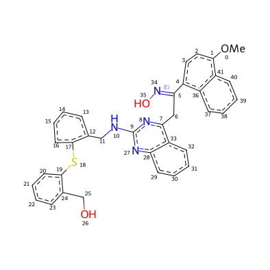 COc1ccc(/C(Cc2nc(NCc3ccccc3Sc3ccccc3CO)nc3ccccc23)=N/O)c2ccccc12